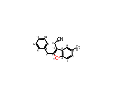 CCc1ccc2oc(Cc3ccccc3)c(CC#N)c2c1